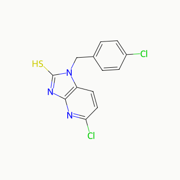 Sc1nc2nc(Cl)ccc2n1Cc1ccc(Cl)cc1